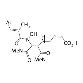 CNC(=O)C(NC/C=C\C(=O)O)C(C(=O)NC)N(O)C(=O)/C(C)=C/C(C)=O